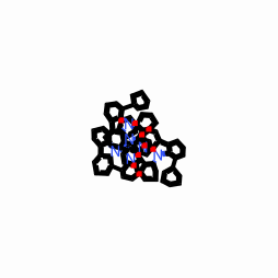 c1ccc(-c2cccc3c4cccc(-c5ccccc5)c4n(-c4nc(-c5ccccc5-n5c6c(-c7ccccc7)cccc6c6cccc(-c7ccccc7)c65)nc(-c5ccccc5-n5c6c(-c7ccccc7)cccc6c6cccc(-c7ccccc7)c65)n4)c23)cc1